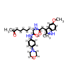 COc1ccc2[nH]c(C)c(CC(=O)N[C@@H](CCCCCC(C)=O)C(=O)Nc3ccc(N4CCOCC4)cc3)c2c1